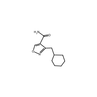 NC(=O)c1conc1CC1CCCCC1